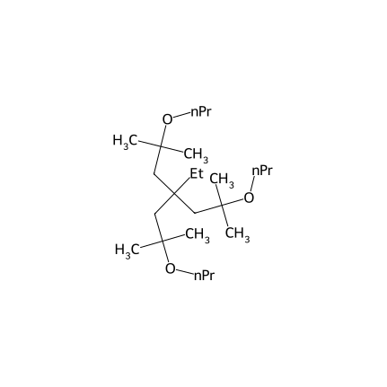 CCCOC(C)(C)CC(CC)(CC(C)(C)OCCC)CC(C)(C)OCCC